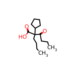 CCCCC(C(=O)O)(C(=O)CCC)C1CCCC1